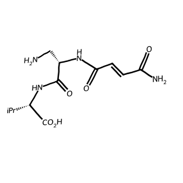 CC(C)[C@H](NC(=O)[C@H](CN)NC(=O)/C=C/C(N)=O)C(=O)O